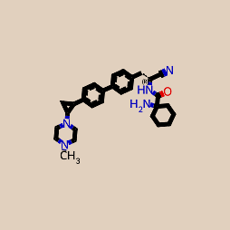 CN1CCN(C2CC2c2ccc(-c3ccc(C[C@H](C#N)NC(=O)C4(N)CCCCC4)cc3)cc2)CC1